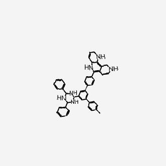 Cc1ccc(-c2cc(-c3ccc(C4=C5C=CNCC5=C5NCC=CC5N4)cc3)cc(C3NC(c4ccccc4)NC(c4ccccc4)N3)c2)cc1